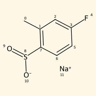 Cc1cc(F)ccc1S(=O)[O-].[Na+]